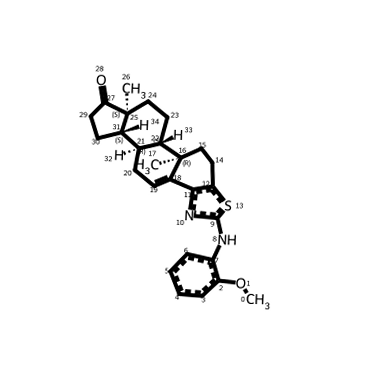 COc1ccccc1Nc1nc2c(s1)CC[C@@]1(C)C2=CC[C@@H]2[C@@H]1CC[C@]1(C)C(=O)CC[C@@H]21